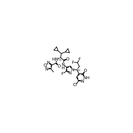 Cc1nonc1C(=O)N[C@H](C(=O)Nc1cn([C@@H](CC(F)F)c2cc(Cl)n[nH]c2=O)nc1F)C(C1CC1)C1CC1